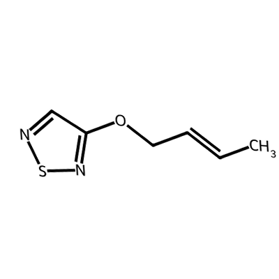 CC=CCOc1cnsn1